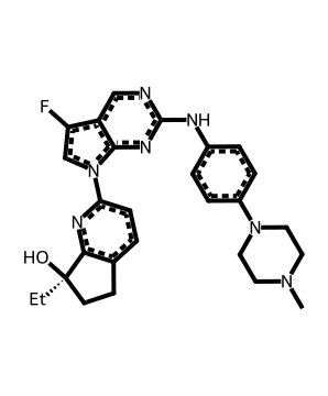 CC[C@@]1(O)CCc2ccc(-n3cc(F)c4cnc(Nc5ccc(N6CCN(C)CC6)cc5)nc43)nc21